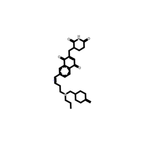 C=C1CCC(CN(CCC)CC/C=C\c2ccc3c(c2)C(=O)C(CC2CCC(=O)NC2=O)=CC3=O)CC1